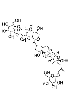 C=C(CC[C@@]1(O)O[C@H]2C[C@H]3[C@@H]4CC=C5C[C@@H](O[C@@H]6OC[C@H](O)[C@H](O)[C@H]6O[C@@H]6O[C@@H](C)[C@H](O)[C@@H](O[C@@H]7O[C@H](CO)[C@@H](O)[C@H](O)[C@H]7O)[C@H]6O)C[C@@H](O)[C@]5(C)[C@H]4CC[C@]3(C)[C@H]2[C@@H]1C)CO[C@@H]1O[C@H](CO)[C@@H](O)[C@H](O)[C@H]1O